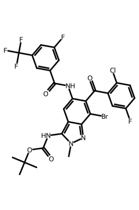 Cn1nc2c(Br)c(C(=O)c3cc(F)ccc3Cl)c(NC(=O)c3cc(F)cc(C(F)(F)F)c3)cc2c1NC(=O)OC(C)(C)C